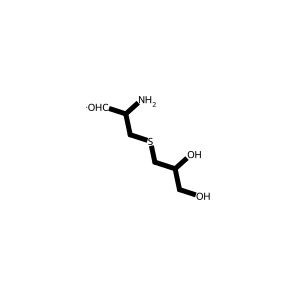 NC([C]=O)CSCC(O)CO